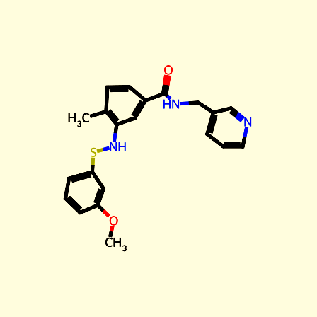 COc1cccc(SNc2cc(C(=O)NCc3cccnc3)ccc2C)c1